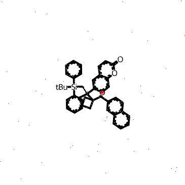 CC(C)(C)[Si](C[C@]1(c2ccc3oc(=O)ccc3c2)CC2CC1(C(=O)c1ccc3ccccc3c1)C2)(c1ccccc1)c1ccccc1